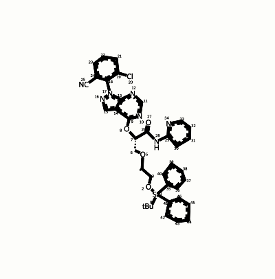 CC(C)(C)[Si](OCCOC[C@H](Oc1ncnc2c1cnn2-c1c(Cl)cccc1C#N)C(=O)Nc1ccccn1)(c1ccccc1)c1ccccc1